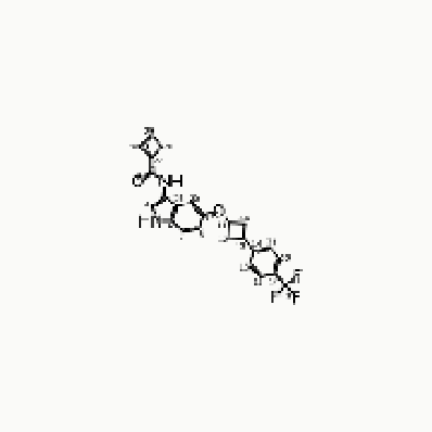 O=C(Nc1c[nH]c2ccc(OC3CC(c4ccc(C(F)(F)F)cc4)C3)cc12)C12CC(C1)C2